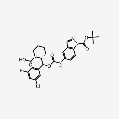 CC(C)(C)OC(=O)n1ncc2cc(NC(=O)O[C@@H](c3cc(F)cc(Cl)c3)[C@H]3CCCCN3C(=O)O)ccc21